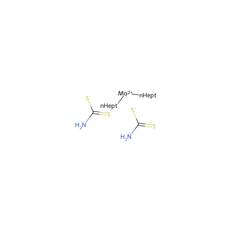 CCCCCC[CH2][Mo+2][CH2]CCCCCC.NC(=S)[S-].NC(=S)[S-]